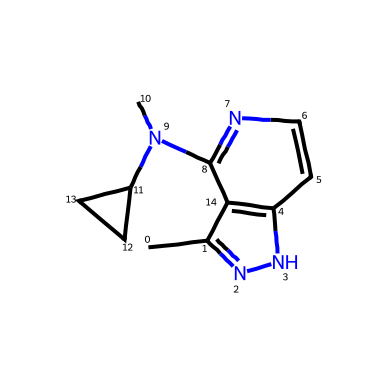 Cc1n[nH]c2ccnc(N(C)C3CC3)c12